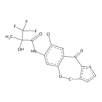 CC(O)(C(=O)Nc1cc2c(cc1Cl)C(=O)c1sccc1CO2)C(F)(F)F